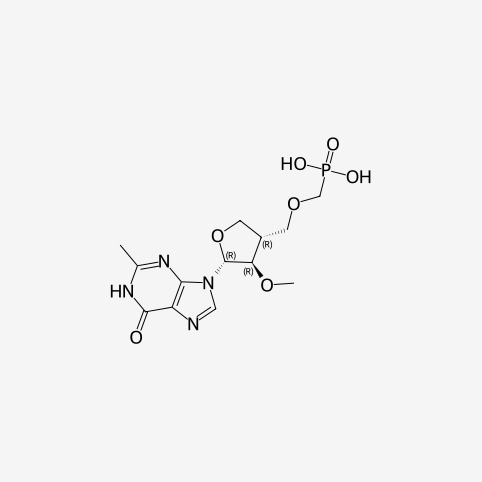 CO[C@@H]1[C@@H](COCP(=O)(O)O)CO[C@H]1n1cnc2c(=O)[nH]c(C)nc21